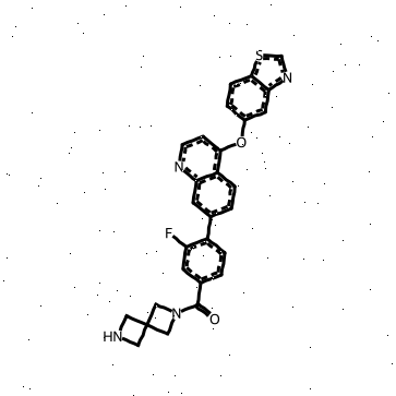 O=C(c1ccc(-c2ccc3c(Oc4ccc5scnc5c4)ccnc3c2)c(F)c1)N1CC2(CNC2)C1